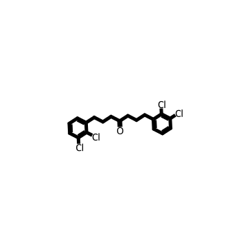 O=C(CCCc1cccc(Cl)c1Cl)CCCc1cccc(Cl)c1Cl